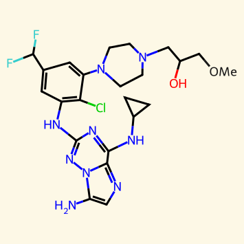 COCC(O)CN1CCN(c2cc(C(F)F)cc(Nc3nc(NC4CC4)c4ncc(N)n4n3)c2Cl)CC1